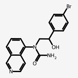 NC(=O)N(CC(O)c1ccc(Br)cc1)c1cccc2cnccc12